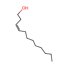 CCCCCCCC/C=C\CCO